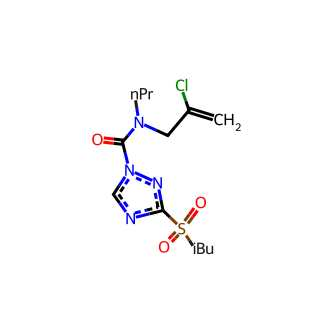 C=C(Cl)CN(CCC)C(=O)n1cnc(S(=O)(=O)C(C)CC)n1